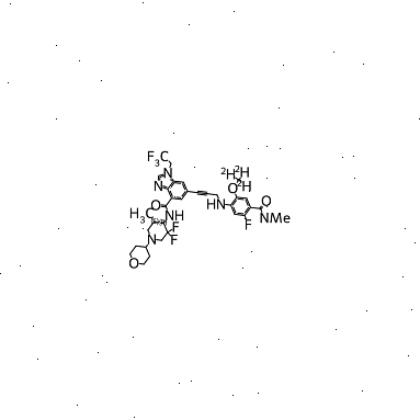 [2H]C([2H])([2H])Oc1cc(C(=O)NC)c(F)cc1NCC#Cc1cc(C(=O)N[C@@H]2[C@@H](C)CN(C3CCOCC3)CC2(F)F)c2ncn(CC(F)(F)F)c2c1